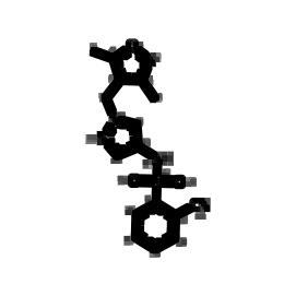 Cc1noc(C)c1Cn1cc(NS(=O)(=O)c2ccccc2C#N)cn1